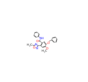 COc1cc(-c2noc(C)n2)c(C(=O)Nc2ccccc2)cc1OCc1ccccc1